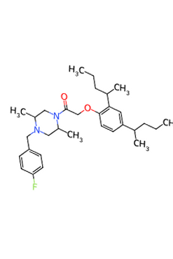 CCCC(C)c1ccc(OCC(=O)N2CC(C)N(Cc3ccc(F)cc3)CC2C)c(C(C)CCC)c1